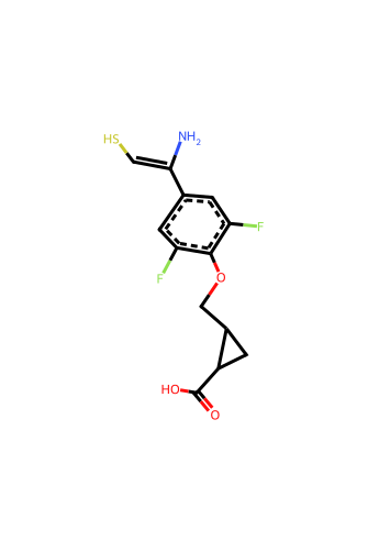 N/C(=C\S)c1cc(F)c(OCC2CC2C(=O)O)c(F)c1